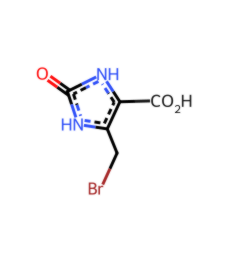 O=C(O)c1[nH]c(=O)[nH]c1CBr